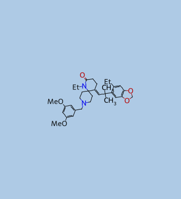 CCc1cc2c(cc1C(C)(C)/C=C1\CCC(=O)N(CC)C13CCN(Cc1cc(OC)cc(OC)c1)CC3)OCO2